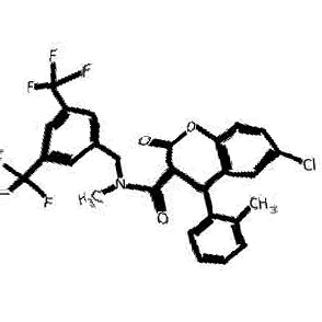 Cc1ccccc1C1c2cc(Cl)ccc2OC(=O)C1C(=O)N(C)Cc1cc(C(F)(F)F)cc(C(F)(F)F)c1